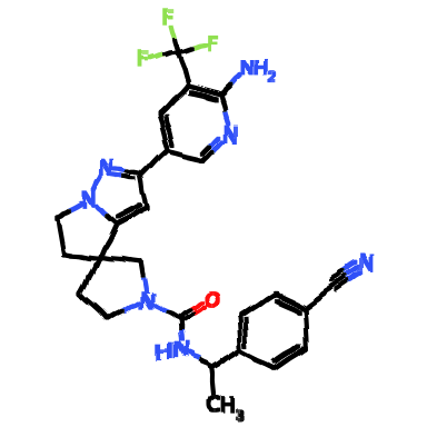 CC(NC(=O)N1CCC2(CCn3nc(-c4cnc(N)c(C(F)(F)F)c4)cc32)C1)c1ccc(C#N)cc1